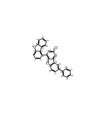 Clc1nc(-c2cccc3oc4ccccc4c23)c2oc3ccc(-c4ccccc4)cc3c2n1